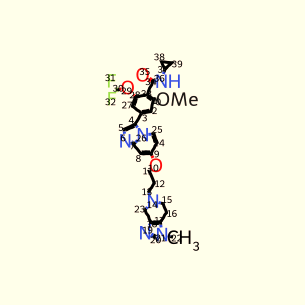 COc1cc(-c2cnc3cc(OCCCN4CCc5c(ncn5C)C4)ccn23)cc(OC(F)F)c1C(=O)NC1CC1